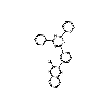 Clc1nc2ccccc2nc1-c1cccc(-c2nc(-c3ccccc3)nc(-c3ccccc3)n2)c1